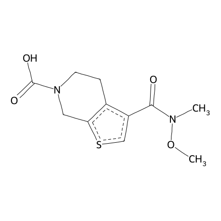 CON(C)C(=O)c1csc2c1CCN(C(=O)O)C2